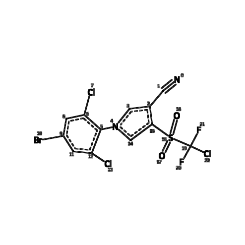 N#Cc1cn(-c2c(Cl)cc(Br)cc2Cl)cc1S(=O)(=O)C(F)(F)Cl